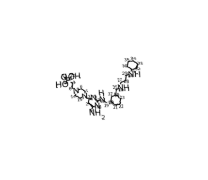 Nc1cc(N2CCN(CCP(=O)(O)O)CC2)nc(NC[C@H]2CCC[C@H](CNCCCNC3CCCCC3)C2)n1